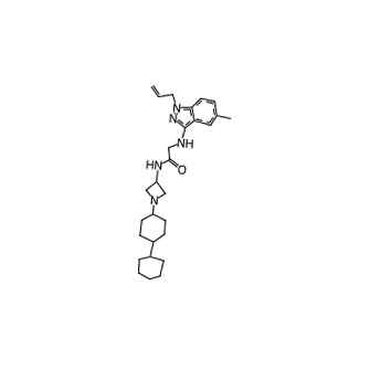 C=CCn1nc(NCC(=O)NC2CN(C3CCC(C4CCCCC4)CC3)C2)c2cc(C)ccc21